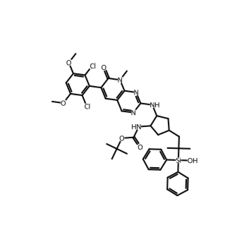 COc1cc(OC)c(Cl)c(-c2cc3cnc(NC4CC(CC(C)(C)[Si](O)(c5ccccc5)c5ccccc5)CC4NC(=O)OC(C)(C)C)nc3n(C)c2=O)c1Cl